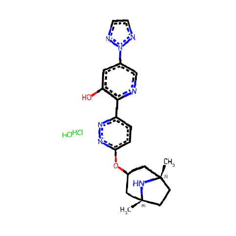 C[C@]12CC[C@](C)(CC(Oc3ccc(-c4ncc(-n5nccn5)cc4O)nn3)C1)N2.Cl.Cl